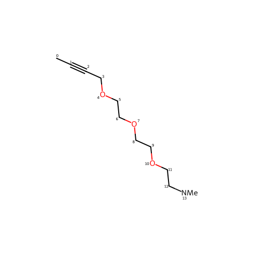 CC#CCOCCOCCOCCNC